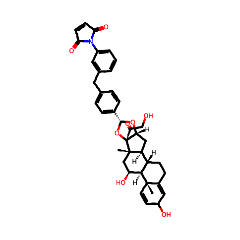 C[C@]12C=CC(O)C=C1CC[C@@H]1[C@@H]2[C@@H](O)C[C@@]2(C)[C@H]1C[C@H]1O[C@@H](c3ccc(Cc4cccc(N5C(=O)C=CC5=O)c4)cc3)O[C@]12C(=O)CO